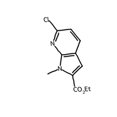 CCOC(=O)c1cc2ccc(Cl)nc2n1C